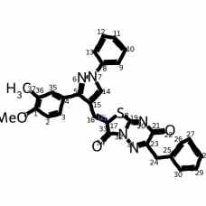 COc1ccc(-c2nn(-c3ccccc3)cc2/C=c2\sc3nc(=O)c(Cc4ccccc4)nn3c2=O)cc1C